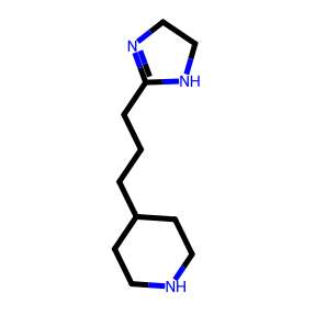 C(CC1=NCCN1)CC1CCNCC1